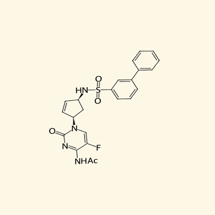 CC(=O)Nc1nc(=O)n([C@H]2C=C[C@@H](NS(=O)(=O)c3cccc(-c4ccccc4)c3)C2)cc1F